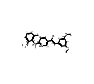 COc1cc(/C=C(\F)c2ccc(Nc3c(C)cccc3N)nc2)cc(OC)c1